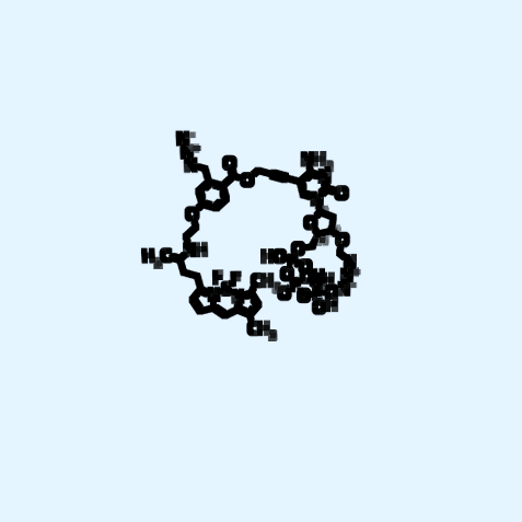 C=C(CCC1=[N+]2C(=Cc3c(C)cc(C)n3S2(F)F)C=C1)NCCOc1ccc(C(=O)OCC#Cc2cn([C@H]3C[C@@H](OCN=[N+]=[N-])[C@@H](COP(=O)(O)OP(=O)(O)OP(=O)(O)O)O3)c(=O)nc2N)c(CN=[N+]=[N-])c1